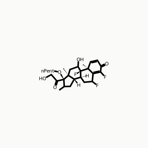 CCCCCO[C@]1(C(=O)CO)C(C)C[C@H]2[C@@H]3CC(F)C4=C(F)C(=O)C=C[C@]4(C)[C@@]3(F)C(O)C[C@@]21C